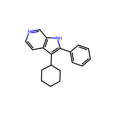 c1ccc(-c2[nH]c3cnccc3c2C2CCCCC2)cc1